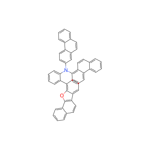 c1ccc(N(c2ccc3c(ccc4ccccc43)c2)c2cccc3c2ccc2ccccc23)c(-c2cccc3c2oc2c4ccccc4ccc32)c1